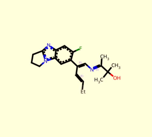 CC/C=C/C(=C\N=C(/C)C(C)(C)O)c1cc2c(cc1F)nc1n2CCC1